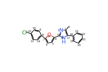 Cc1nc(-c2ccc(-c3ccc(Cl)cc3)o2)[nH]c1-c1ccccc1